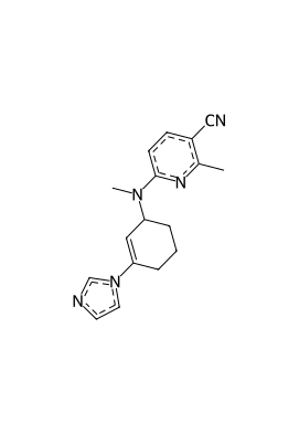 Cc1nc(N(C)C2C=C(n3ccnc3)CCC2)ccc1C#N